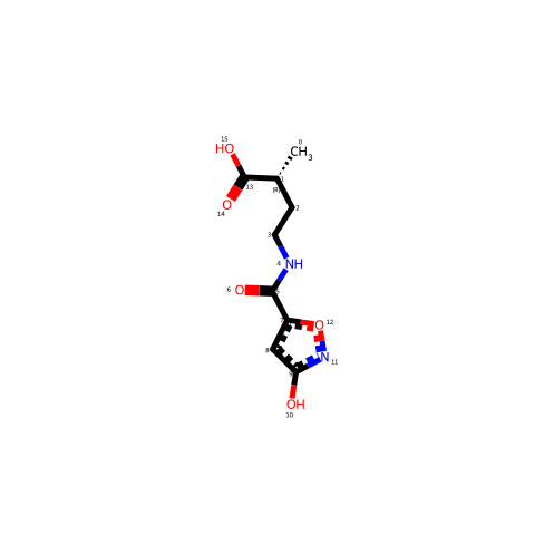 C[C@H](CCNC(=O)c1cc(O)no1)C(=O)O